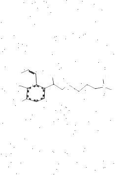 C/C=C\c1c(C(O)CNCCCN(C)CC)ccc(O)c1NC=O